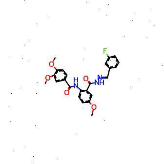 COc1ccc(NC(=O)c2ccc(OC)c(OC)c2)c(C(=O)N/N=C/c2cccc(F)c2)c1